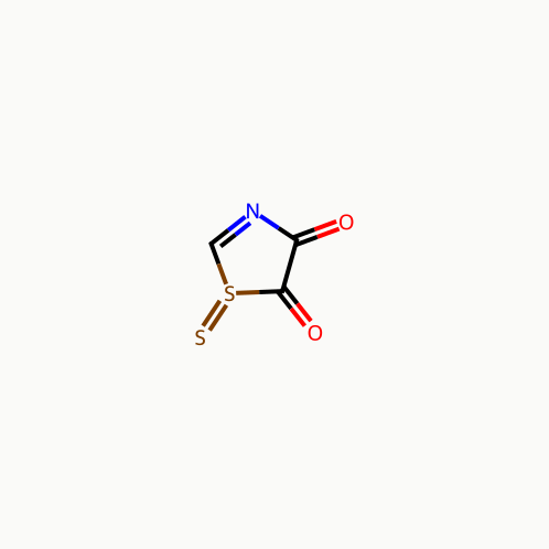 O=C1N=CS(=S)C1=O